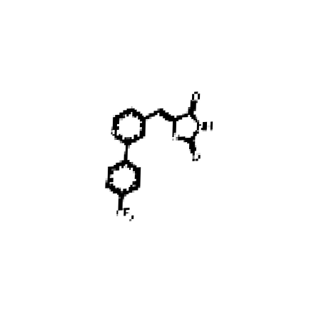 O=C1NC(=O)C(=Cc2ccnc(-c3ccc(C(F)(F)F)cc3)c2)S1